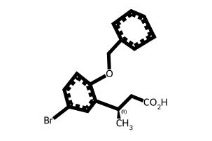 C[C@H](CC(=O)O)c1cc(Br)ccc1OCc1ccccc1